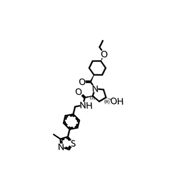 CCO[C@H]1CC[C@H](C(=O)N2C[C@H](O)C[C@H]2C(=O)NCc2ccc(-c3scnc3C)cc2)CC1